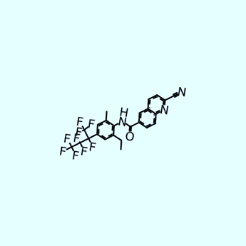 CCc1cc(C(F)(C(F)(F)F)C(F)(F)C(F)(F)F)cc(C)c1NC(=O)c1ccc2nc(C#N)ccc2c1